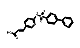 O=C(O)/C=C/c1ccc(NS(=O)(=O)c2ccc(-c3ccccc3)cc2)nc1